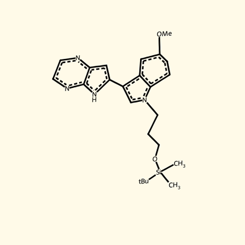 COc1ccc2c(c1)c(-c1cc3nccnc3[nH]1)cn2CCCO[Si](C)(C)C(C)(C)C